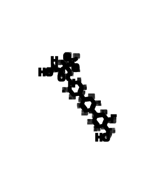 CC(CCN1CC=C(c2ccc(-c3ccc(CO)c(F)c3)cc2)CC1)(C(=O)NO)S(C)(=O)=O